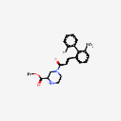 CC(C)OC(=O)C1CN(C(=O)/C=C/c2cc[c]c([N+](=O)[O-])c2-c2ccccc2C(C)C)CCN1